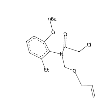 C=CCOCN(C(=O)CCl)c1c(CC)cccc1OCCCC